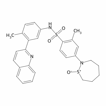 Cc1ccc(NS(=O)(=O)c2ccc(N3CCCCC[S+]3[O-])cc2C)cc1-c1ccc2ccccc2n1